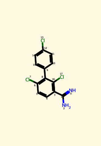 N=C(N)c1ccc(Cl)c(-c2ccc(Cl)cc2)c1Cl